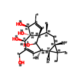 CC1=C[C@@]23C(O)[C@H](C=C(CO)[C@@H](O)[C@@]2(O)[C@H]1O)[C@@H]1[C@H](C[C@@H]3C)C1(C)C